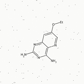 CCOc1cnc2c(N)nc(N)nc2c1